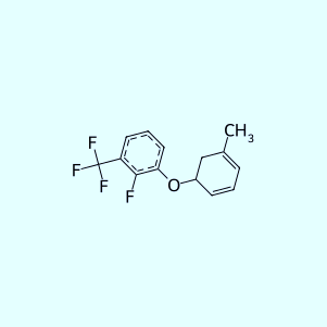 CC1=CC=CC(Oc2cccc(C(F)(F)F)c2F)C1